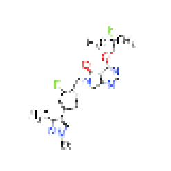 CCn1cc(-c2ccc(CN3Cc4ncnc(OCC(C)(C)F)c4C3=O)c(F)c2)c(C)n1